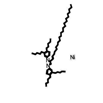 CCCCCCCCCCCCCCCCCCCCCCC=CC(C=Nc1ccc(CCCCC)c(CCCCC)c1)=Nc1ccc(CCCCC)c(CCCCC)c1.[Ni]